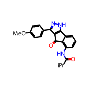 COc1ccc(-c2n[nH]c3c2C(=O)c2c(NC(=O)C(C)C)cccc2-3)cc1